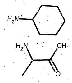 CC(N)C(=O)O.NC1CCCCC1